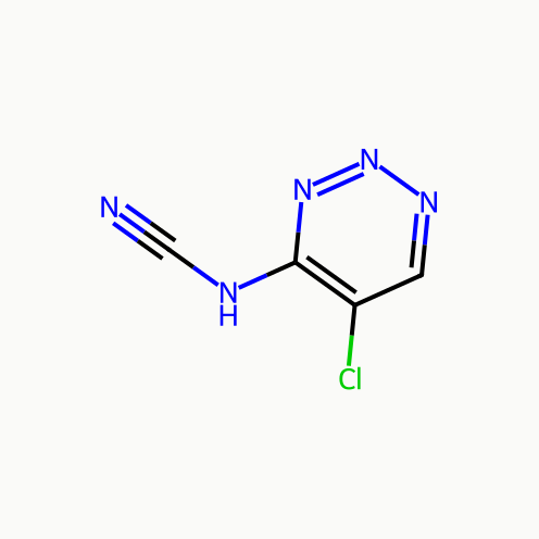 N#CNc1nnncc1Cl